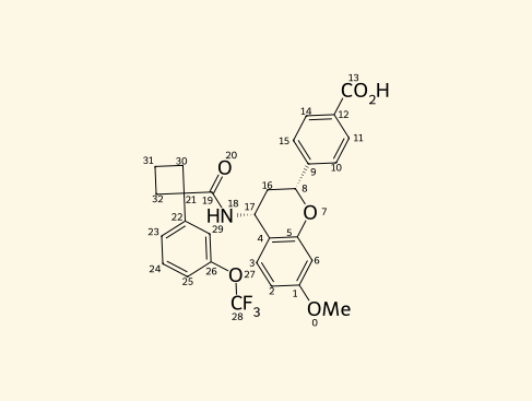 COc1ccc2c(c1)O[C@@H](c1ccc(C(=O)O)cc1)C[C@H]2NC(=O)C1(c2cccc(OC(F)(F)F)c2)CCC1